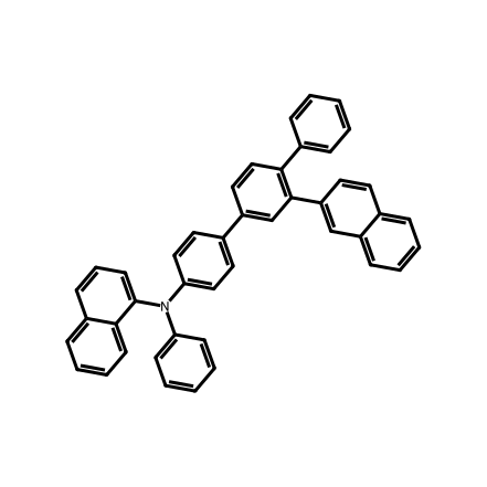 c1ccc(-c2ccc(-c3ccc(N(c4ccccc4)c4cccc5ccccc45)cc3)cc2-c2ccc3ccccc3c2)cc1